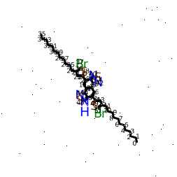 CCCCCCCCCCCCc1cc(C2=Cc3c(cc(-c4cc(CCCCCCCCCCCC)c(Br)s4)c4nsnc34)C3=NSNC23)sc1Br